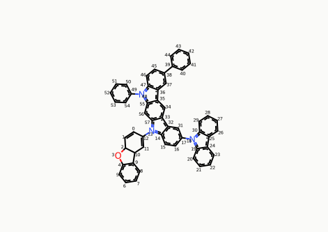 C1=CC2Oc3ccccc3C2C=C1n1c2ccc(-n3c4ccccc4c4ccccc43)cc2c2cc3c4cc(-c5ccccc5)ccc4n(-c4ccccc4)c3cc21